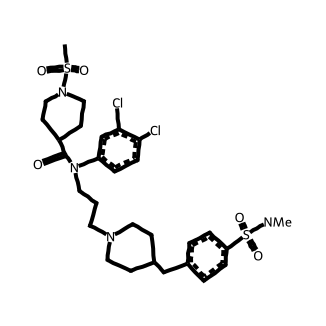 CNS(=O)(=O)c1ccc(CC2CCN(CCCN(C(=O)C3CCN(S(C)(=O)=O)CC3)c3ccc(Cl)c(Cl)c3)CC2)cc1